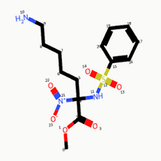 COC(=O)C(CCCCCN)(NS(=O)(=O)c1ccccc1)[N+](=O)[O-]